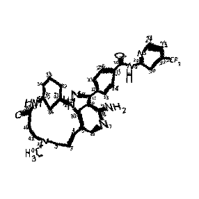 CN1C/C=C/c2cnc(N)c3c(-c4ccc(C(=O)Nc5cc(C(F)(F)F)ccn5)cc4)nn(c23)[C@@H]2CCC[C@H](C2)NC(=O)CC1